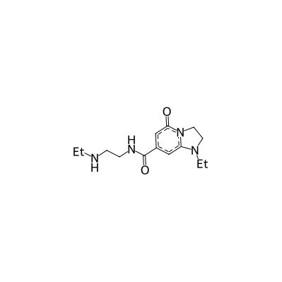 CCNCCNC(=O)c1cc2n(c(=O)c1)CCN2CC